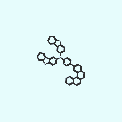 c1ccc2c(c1)ccc1ccc3ccc(-c4ccc(N(c5ccc6oc7ccccc7c6c5)c5ccc6sc7ccccc7c6c5)cc4)cc3c12